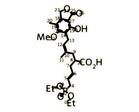 CCOP(=O)(CC=CCC(CC(C)=CCc1c(O)c2c(c(C)c1OC)COC2=O)C(=O)O)OCC